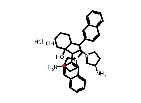 Cl.Cl.N[C@@H]1CCN(CC(c2ccc3ccccc3c2)C2CCCCC2(O)C(CN2CC[C@@H](N)C2)c2ccc3ccccc3c2)C1